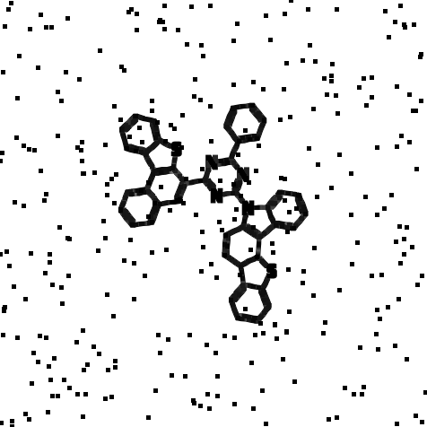 C1=CC2c3ccccc3SC2c2c1n(-c1nc(-c3ccccc3)nc(-c3cc4ccccc4c4c3sc3ccccc34)n1)c1ccccc21